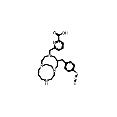 O=C(O)c1cccc(CN2CCN3CCCNCCN(CC3)CC(Cc3ccc(N=C=S)cc3)C2)n1